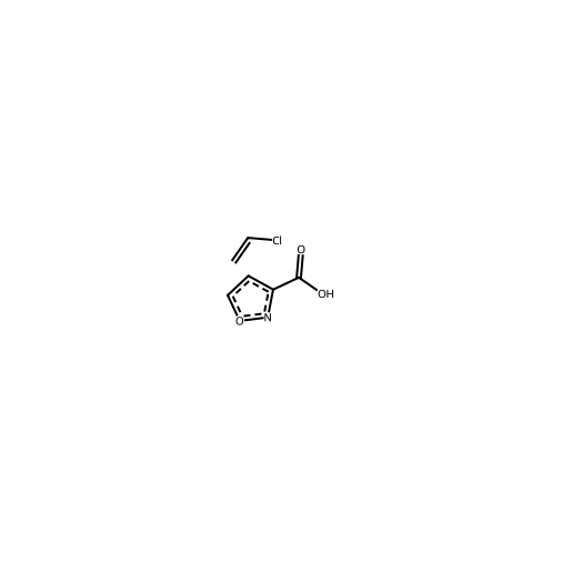 C=CCl.O=C(O)c1ccon1